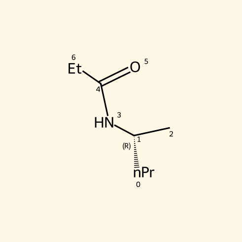 CCC[C@@H](C)NC(=O)CC